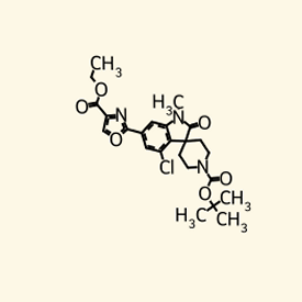 CCOC(=O)c1coc(-c2cc(Cl)c3c(c2)N(C)C(=O)C32CCN(C(=O)OC(C)(C)C)CC2)n1